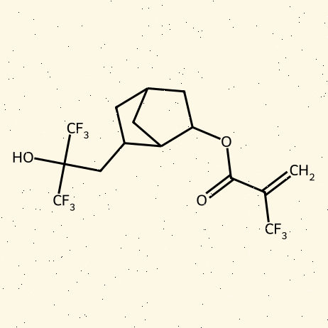 C=C(C(=O)OC1CC2CC(CC(O)(C(F)(F)F)C(F)(F)F)C1C2)C(F)(F)F